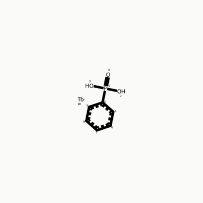 O=P(O)(O)c1ccccc1.[Tb]